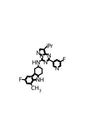 Cc1cc(F)cc2c3c([nH]c12)CC[C@H](Nc1nc(-c2cncc(F)c2)nc2c(C(C)C)cnn12)C3